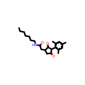 CCCCCCCNC(=O)CC1CC(=O)C(c2c(C)cc(C)cc2C)C1=O